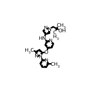 Cc1cccc(-n2nc(C)cc2Oc2ccnc(Nc3cnn(CC(C)(C)O)c3)c2)n1